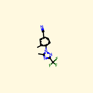 Cc1cc(C#N)ccc1-n1nc(C(F)(F)F)nc1C